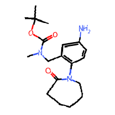 CN(Cc1cc(N)ccc1N1CCCCCC1=O)C(=O)OC(C)(C)C